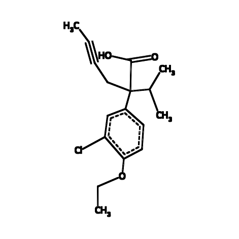 CC#CCC(C(=O)O)(c1ccc(OCC)c(Cl)c1)C(C)C